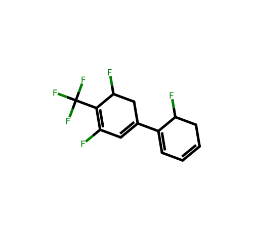 FC1=C(C(F)(F)F)C(F)CC(C2=CC=CCC2F)=C1